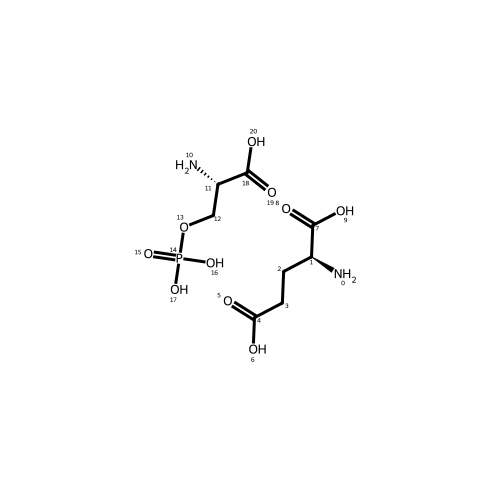 N[C@@H](CCC(=O)O)C(=O)O.N[C@@H](COP(=O)(O)O)C(=O)O